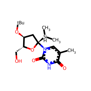 Cc1cn([C@@]2([SiH](C)C)C[C@H](OC(C)(C)C)[C@@H](CO)O2)c(=O)[nH]c1=O